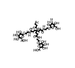 CC(=O)CCC(=O)NC(CCC(=O)NCCO[C@H]1O[C@H](CO)[C@@H](O)[C@H](O)[C@@H]1O)(CCC(=O)NCCO[C@H]1O[C@H](CO)[C@@H](O)[C@H](O)[C@@H]1O)CCC(=O)NCCO[C@H]1O[C@H](CO)[C@@H](O)[C@H](O)[C@@H]1O